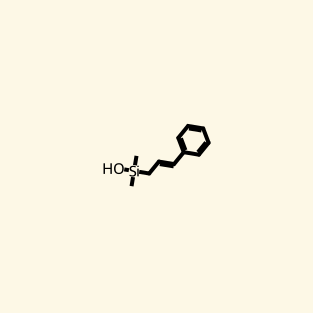 C[Si](C)(O)CC=Cc1ccccc1